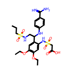 CCCS(=O)(=O)NCC(Nc1ccc(C(=N)N)cc1)c1cc(OCC)c(OCC)cc1NS(=O)(=O)CC(=O)O